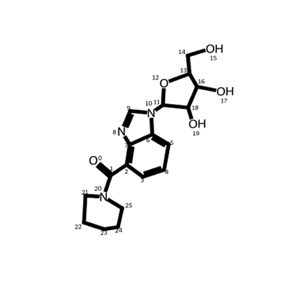 O=C(c1cccc2c1ncn2C1OC(CO)C(O)C1O)N1CCCCC1